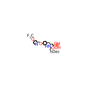 CCCCCCCCCCCC(=O)NC(C=CP(=O)(O)O)Cc1ccc(OCc2cc(OCC(F)(F)F)ccn2)cc1